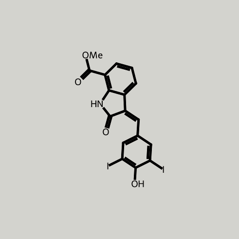 COC(=O)c1cccc2c1NC(=O)C2=Cc1cc(I)c(O)c(I)c1